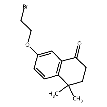 CC1(C)CCC(=O)c2cc(OCCBr)ccc21